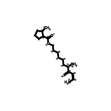 CC1CCCC1C(=O)OCCCCCCN(N)C(=S)/C=C\N